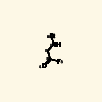 C[CH2][AlH][CH2]C(=O)F